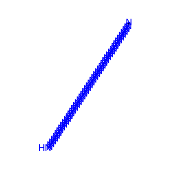 N#C/N=N/N=N/N=N/N=N/N=N/N=N/N=N/N=N/N=N/N=N/N=N/N=N/N=N/N=N/N=N/N=N/N=N/N=N/N=N/N=N/N=N/N=N/N=N/N=N/N=N/N=N/N=N/N=N/N=N/N=N/N=N/N=N/N=N/N=N/N=N/N=N/N=N/N=N/N=N/N=N/N=N/N=N/N=N/N=N